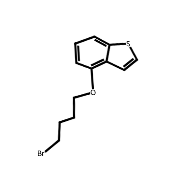 BrCCCCOc1cccc2sccc12